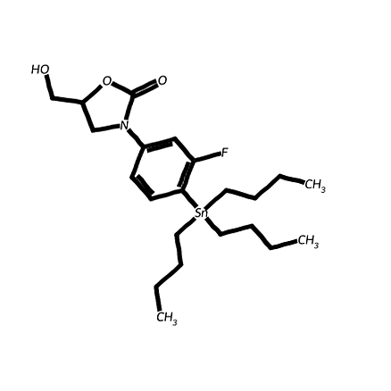 CCC[CH2][Sn]([CH2]CCC)([CH2]CCC)[c]1ccc(N2CC(CO)OC2=O)cc1F